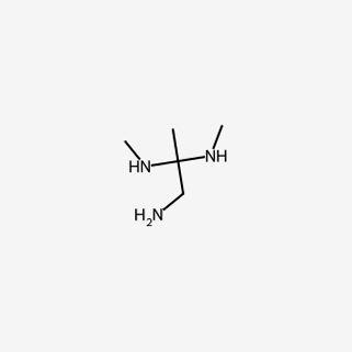 CNC(C)(CN)NC